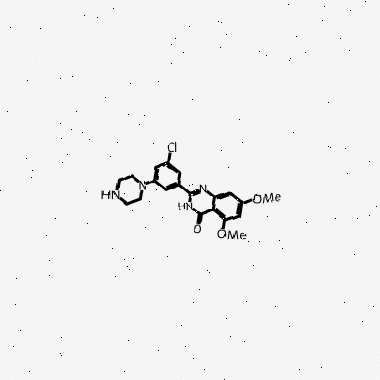 COc1cc(OC)c2c(=O)[nH]c(-c3cc(Cl)cc(N4CCNCC4)c3)nc2c1